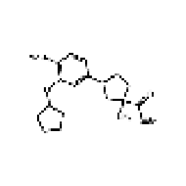 COC(=O)C1(N)CCC(c2ccc(OC)c(OC3CCCC3)c2)C1